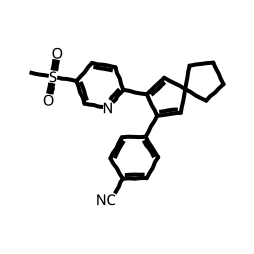 CS(=O)(=O)c1ccc(C2=CC3(C=C2c2ccc(C#N)cc2)CCCC3)nc1